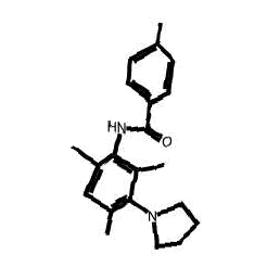 Cc1ccc(C(=O)Nc2c(C)cc(C)c(N3CCCC3)c2C)cc1